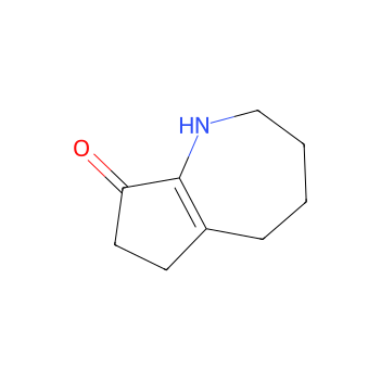 O=C1CCC2=C1NCCCC2